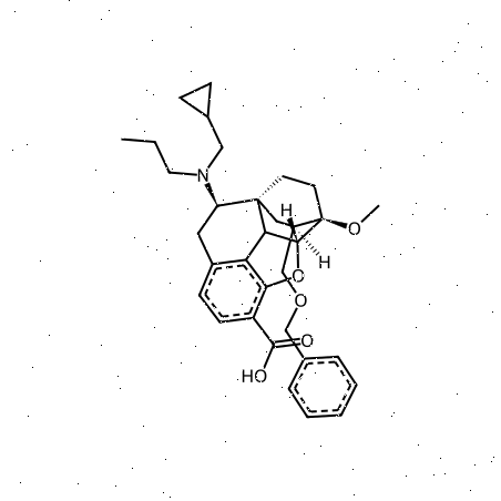 CCCN(CC1CC1)[C@@H]1Cc2ccc(C(=O)O)c3c2C2[C@@H](O3)[C@@]3(OC)CC[C@]21C[C@@H]3COCc1ccccc1